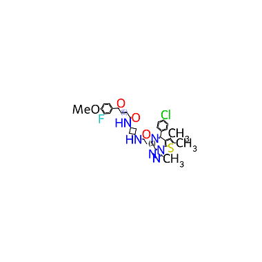 COc1ccc(C(=O)/C=C/C(=O)N[C@H]2C[C@H](NC(=O)C[C@@H]3N=C(c4ccc(Cl)cc4)c4c(sc(C)c4C)-n4c(C)nnc43)C2)cc1F